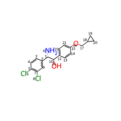 N[C@@H](c1ccc(Cl)c(Cl)c1)[C@H](O)c1ccc(OCC2CC2)cc1